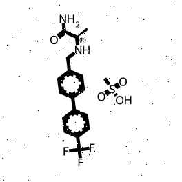 CS(=O)(=O)O.C[C@@H](NCc1ccc(-c2ccc(C(F)(F)F)cc2)cc1)C(N)=O